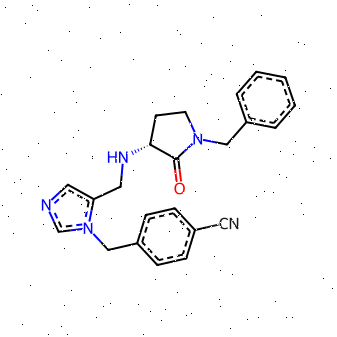 N#Cc1ccc(Cn2cncc2CN[C@@H]2CCN(Cc3ccccc3)C2=O)cc1